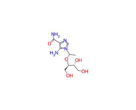 CC(O[C@H](CO)[C@H](O)CO)n1cnc(C(N)=O)c1N